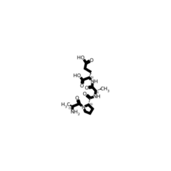 C[C@H](N)C(=O)N1CCC[C@H]1C(=O)N[C@@H](C)C(=O)N[C@@H](CCC(=O)O)C(=O)O